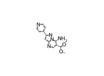 COC(=O)c1cnc2cc(-c3ccncc3)nn2c1N